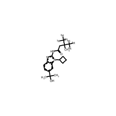 [2H]C([2H])([2H])C(C)(CC(=O)Nc1nc2ccc(C(C)(C)O)cc2n1C1CCC1)C([2H])([2H])[2H]